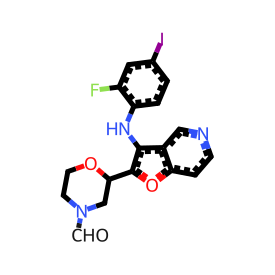 O=CN1CCOC(c2oc3ccncc3c2Nc2ccc(I)cc2F)C1